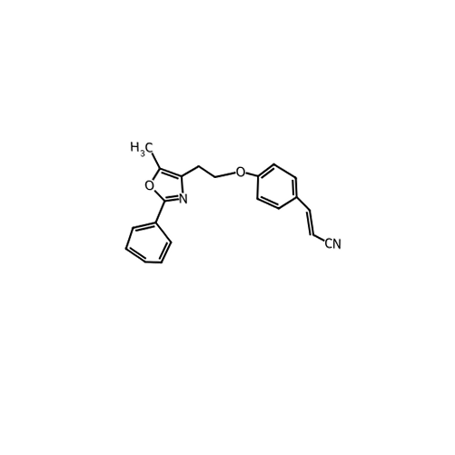 Cc1oc(-c2ccccc2)nc1CCOc1ccc(C=CC#N)cc1